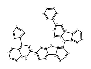 C1=CC2=C(c3ccccc3)C=C(c3ccc4c(c3)oc3c(-n5c6ccccc6c6cc(-c7ccccc7)ccc65)cccc34)NC2C=C1